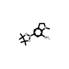 CN1CCc2cc(B3OC(C)(C)C(C)(C)O3)cc(N)c21